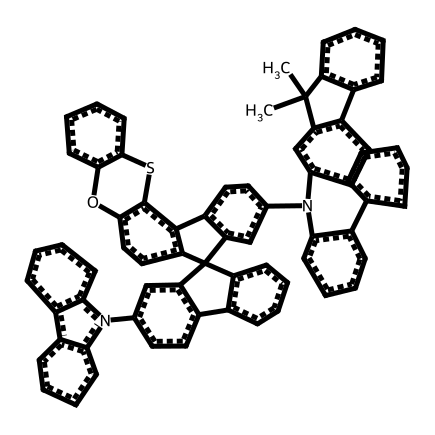 CC1(C)c2ccccc2-c2ccc(N(c3ccc4c(c3)C3(c5ccccc5-c5ccc(-n6c7ccccc7c7ccccc76)cc53)c3ccc5c(c3-4)Sc3ccccc3O5)c3ccccc3-c3ccccc3)cc21